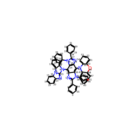 c1ccc(-c2nc3c(-n4c5ccccc5n5c6ccccc6nc45)c4c(nc(-c5ccccc5)n4-c4ccccc4)c(N4c5ccccc5Oc5ccccc54)c3n2-c2ccccc2)cc1